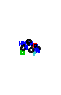 O=C(c1cccc(F)c1-n1nccn1)N1CC2CCC1C(Nc1ccc(Cl)cn1)C2